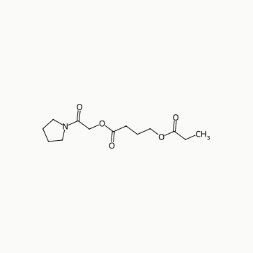 CCC(=O)OCCCC(=O)OCC(=O)N1CCCC1